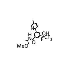 COCC(C)NC(=O)c1cc(-c2ccc(C)cn2)cc(C(O)(F)C(F)(F)F)c1